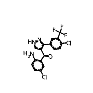 Nc1ccc(Cl)cc1C(=O)c1c[nH]nc1-c1ccc(Cl)c(C(F)(F)F)c1